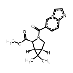 COC(=O)[C@@H]1[C@@H]2[C@H](CN1C(=O)c1ccc3nccn3c1)C2(C)C